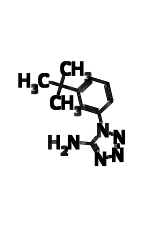 CC(C)(C)c1cccc(-n2nnnc2N)c1